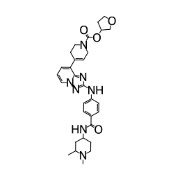 CC1CC(NC(=O)c2ccc(Nc3nc4c(C5=CCN(C(=O)OC6CCOC6)CC5)cccn4n3)cc2)CCN1C